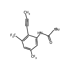 CC#Cc1c(NC(=O)C(C)(C)C)cc(C(F)(F)F)cc1C(F)(F)F